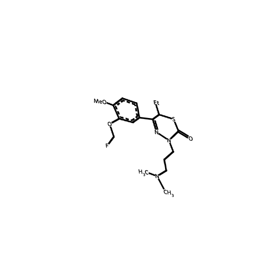 CCC1SC(=O)N(CCCN(C)C)N=C1c1ccc(OC)c(OCF)c1